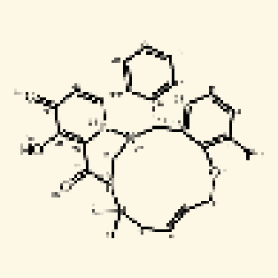 CC1(C)C/C=C/COc2c(F)cccc2[C@@H](c2ccccc2)N2CN1C(=O)c1c(O)c(=O)ccn12